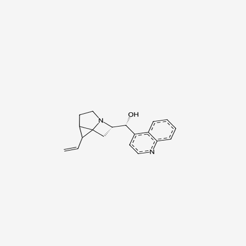 C=CC1C2CCN3[C@H]([C@H](O)c4ccnc5ccccc45)CC123